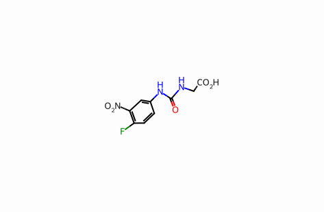 O=C(O)CNC(=O)Nc1ccc(F)c([N+](=O)[O-])c1